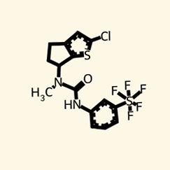 CN(C(=O)Nc1cccc(S(F)(F)(F)(F)F)c1)C1CCc2cc(Cl)sc21